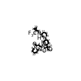 O=C(Nc1cc(=O)n2ccccc2n1)C1(c2ccc(N3CCC[C@@H](NCC4(C(F)(F)F)CC4)C3)cn2)COC1